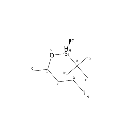 CC(CCI)O[Si@@H](C)C(C)(C)C